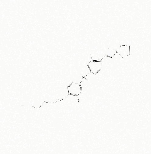 CCC(CC)(c1ccc(/C=C/C2(O)CCCC2)c(C)c1)c1ccc(OCCCCC(=O)O)c(C)c1